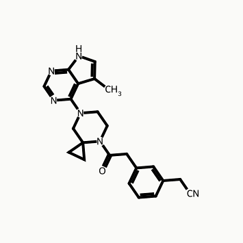 Cc1c[nH]c2ncnc(N3CCN(C(=O)Cc4cccc(CC#N)c4)C4(CC4)C3)c12